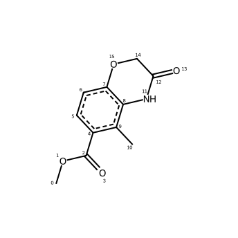 COC(=O)c1ccc2c(c1C)NC(=O)CO2